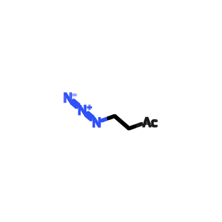 CC(=O)CCN=[N+]=[N-]